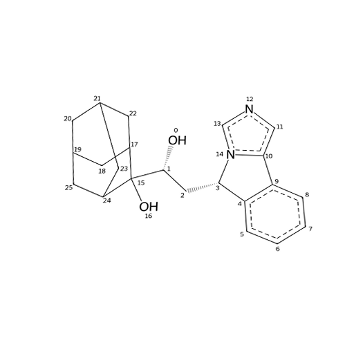 O[C@H](C[C@H]1c2ccccc2-c2cncn21)C1(O)C2CC3CC(C2)CC1C3